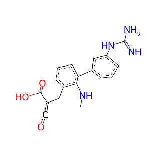 CNc1c(CC(=C=O)C(=O)O)cccc1-c1cccc(NC(=N)N)c1